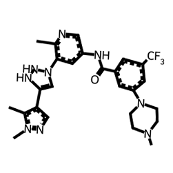 Cc1ncc(NC(=O)c2cc(N3CCN(C)CC3)cc(C(F)(F)F)c2)cc1N1C=C(c2cnn(C)c2C)NN1